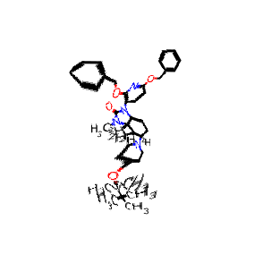 [2H]C1(N2CCC(O[Si](C)(C)C(C)(C)C)CC2)CC=C2N(c3ccc(OCc4ccccc4)nc3OCc3ccccc3)C(=O)N(C)C2([2H])C1([2H])[2H]